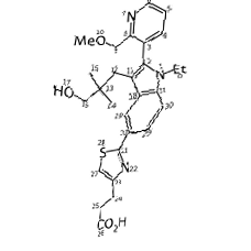 CCn1c(-c2cccnc2COC)c(CC(C)(C)CO)c2cc(-c3nc(CCC(=O)O)cs3)ccc21